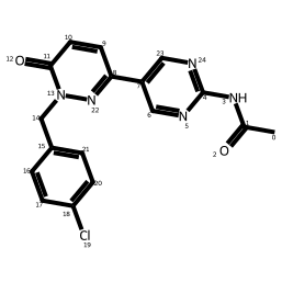 CC(=O)Nc1ncc(-c2ccc(=O)n(Cc3ccc(Cl)cc3)n2)cn1